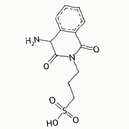 NC1C(=O)N(CCCS(=O)(=O)O)C(=O)c2ccccc21